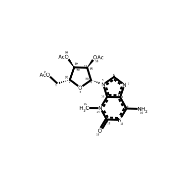 CC(=O)OC[C@H]1O[C@@H](n2cnc3c(N)nc(=O)n(C)c32)[C@H](OC(C)=O)[C@@H]1OC(C)=O